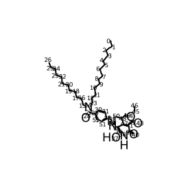 CCCCCCCCCCCCCCN(CCCCCCCCCCCC)C(=O)c1ccc(/N=N/c2c(O)[nH]c(=O)c(C(=O)OCC)c2C(C)C)cc1